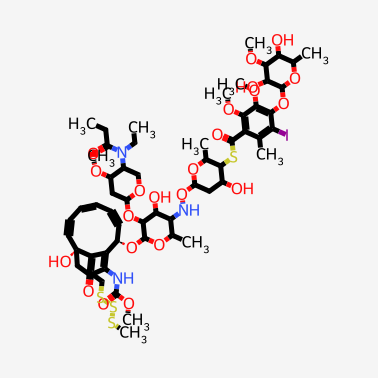 CCC(=O)N(CC)C1COC(OC2C(O[C@H]3C#C/C=C\C#C[C@]4(O)CC(=O)C(NC(=O)OC)=C3/C4=C\CSSSC)OC(C)C(NOC3CC(O)C(SC(=O)c4c(C)c(I)c(OC5OC(C)C(O)C(OC)C5O)c(OC)c4OC)C(C)O3)C2O)CC1OC